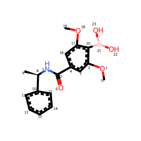 COc1cc(C(=O)N[C@H](C)c2ccccc2)cc(OC)c1B(O)O